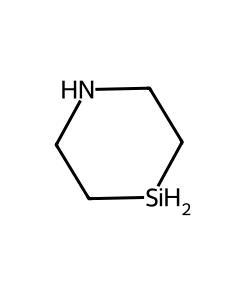 C1C[SiH2]CCN1